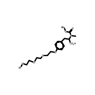 CCOCCOCCOCCOc1ccc(CC(C(=O)O)N(C)C(=O)OC(C)(C)C)cc1